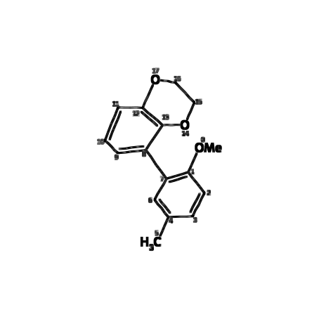 COc1ccc(C)cc1-c1cccc2c1OCCO2